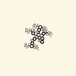 CC(C)(C)c1ccc(N2B3c4sc5cc6c(cc5c4N(c4ccc(C(C)(C)C)cc4-c4ccccc4)c4cc5c(oc7ccccc75)c(c43)-c3cc4c(cc32)oc2cc3c(cc24)C(C)(C)CCC3(C)C)C(C)(C)CCC6(C)C)cc1